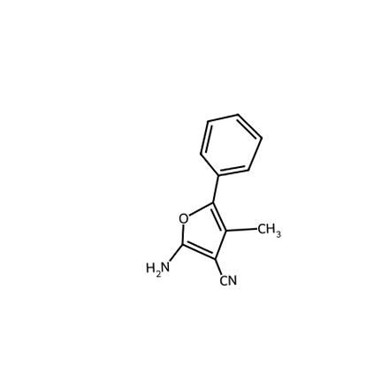 Cc1c(-c2ccccc2)oc(N)c1C#N